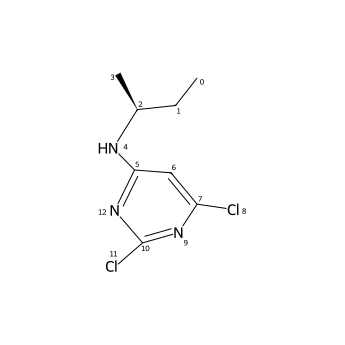 CC[C@H](C)Nc1cc(Cl)nc(Cl)n1